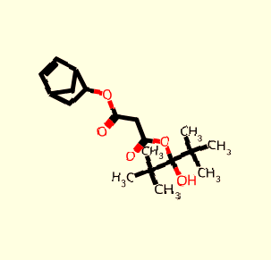 CC(C)(C)C(O)(OC(=O)CC(=O)OC1CC2C=CC1C2)C(C)(C)C